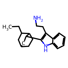 CCC1CC2CCC1C(c1[nH]c3ccccc3c1CCN)C2